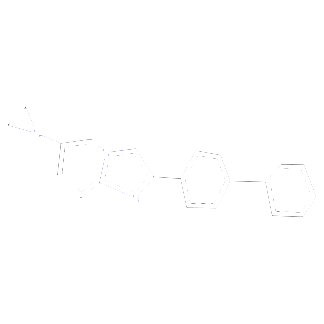 c1ccc(-c2ccc(-c3cn4cc(N5CC5)ccc4n3)cc2)cc1